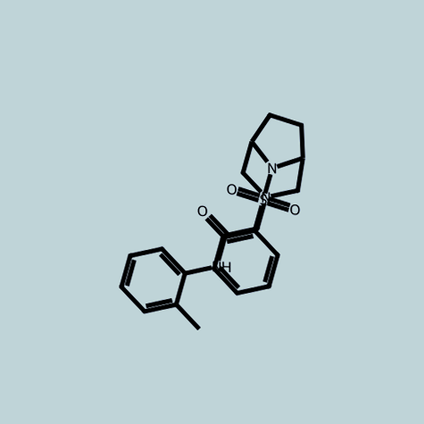 Cc1ccccc1NC(=O)CN1CC2CCC(C1)N2S(=O)(=O)c1ccccc1